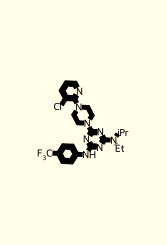 CCN(c1nc(Nc2ccc(C(F)(F)F)cc2)nc(N2CCN(c3ncccc3Cl)CC2)n1)C(C)C